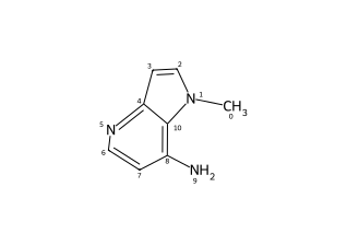 Cn1ccc2nccc(N)c21